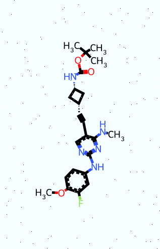 CNc1nc(Nc2ccc(OC)c(F)c2)ncc1C#C[C@H]1C[C@@H](NC(=O)OC(C)(C)C)C1